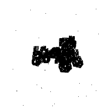 CCn1nccc1C(=O)N[C@H](C(=O)Nc1ccc([C@H](C)C(=O)N(C2CCOC2)C(F)C(F)F)cc1F)C(C1CCCCC1)C1CCCCC1